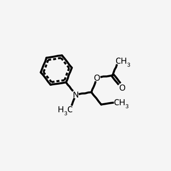 CCC(OC(C)=O)N(C)c1ccccc1